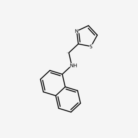 [CH](Nc1cccc2ccccc12)c1nccs1